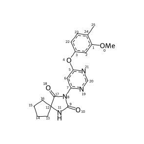 COc1cc(Oc2cc(N3C(=O)NC4(CCCC4)C3=O)ncn2)ccc1C